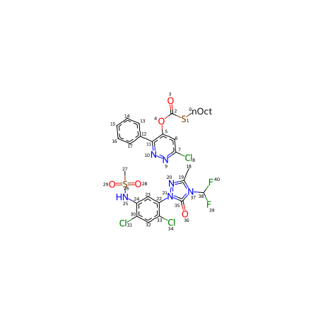 CCCCCCCCSC(=O)Oc1cc(Cl)nnc1-c1ccccc1.Cc1nn(-c2cc(NS(C)(=O)=O)c(Cl)cc2Cl)c(=O)n1C(F)F